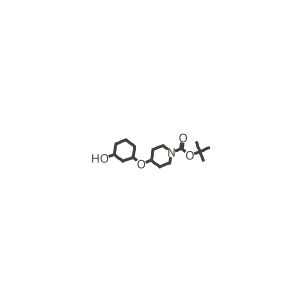 CC(C)(C)OC(=O)N1CCC(OC2CCCC(O)C2)CC1